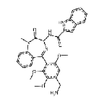 COc1cc(CN)c(OC)c(OC)c1C1=NC(NC(=O)c2cc3ccccc3[nH]2)C(=O)N(C)c2ccccc21